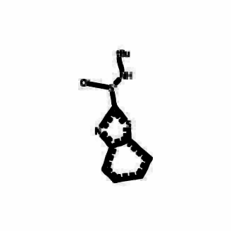 CC(C)(C)N[S+]([O-])c1nc2ccccc2s1